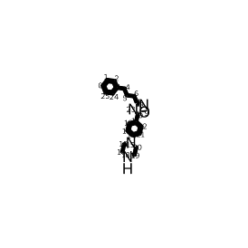 c1ccc(CCCc2noc(-c3ccc(N4CCNCC4)cc3)n2)cc1